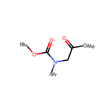 CCCN(CC(=O)OC)C(=O)OC(C)(C)C